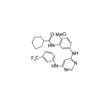 COc1ccc(Nc2cc(Nc3cccc(C(F)(F)F)c3)ncn2)cc1NC(=O)C1CCCCC1